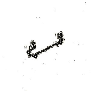 Cn1c(CNc2cccc(C(=O)NCc3cccc(OCCCCCCOCCOCCOCCCC(=O)Nc4cccc5c4CN(C4CCC(=O)NC4=O)C5=O)c3)c2)nnc1-c1ccncn1